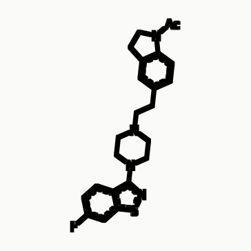 CC(=O)N1CCc2cc(CCN3CCN(c4nsc5cc(F)ccc45)CC3)ccc21